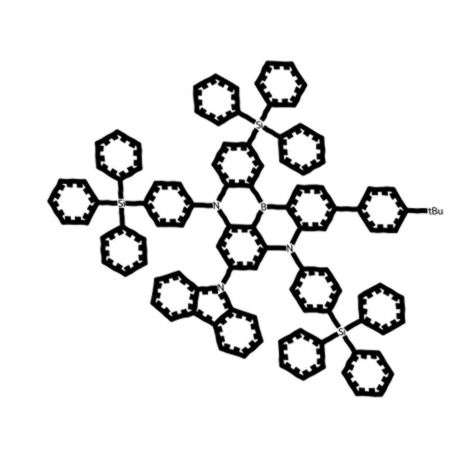 CC(C)(C)c1ccc(-c2ccc3c(c2)N(c2ccc([Si](c4ccccc4)(c4ccccc4)c4ccccc4)cc2)c2cc(-n4c5ccccc5c5ccccc54)cc4c2B3c2cc([Si](c3ccccc3)(c3ccccc3)c3ccccc3)ccc2N4c2ccc([Si](c3ccccc3)(c3ccccc3)c3ccccc3)cc2)cc1